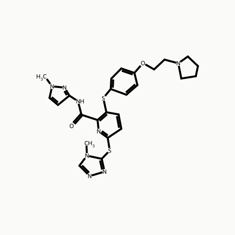 Cn1ccc(NC(=O)c2nc(Sc3nncn3C)ccc2Sc2ccc(OCCN3CCCC3)cc2)n1